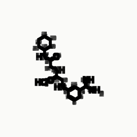 Cl.N=C(N)c1cccc(NCC(=O)NCC(=O)NC2CCCCC2)c1